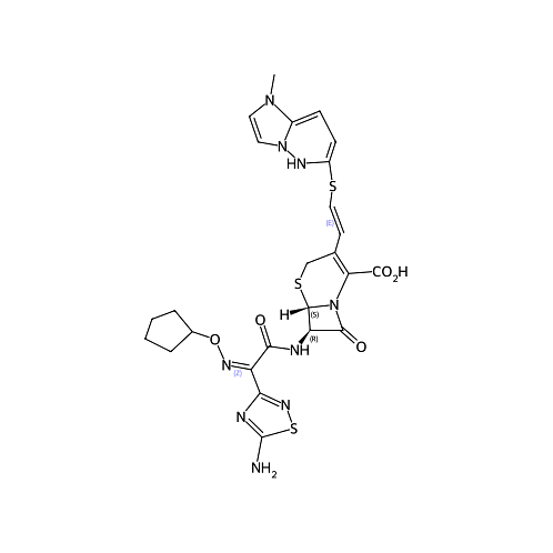 CN1C=CN2NC(S/C=C/C3=C(C(=O)O)N4C(=O)[C@@H](NC(=O)/C(=N\OC5CCCC5)c5nsc(N)n5)[C@@H]4SC3)=CC=C12